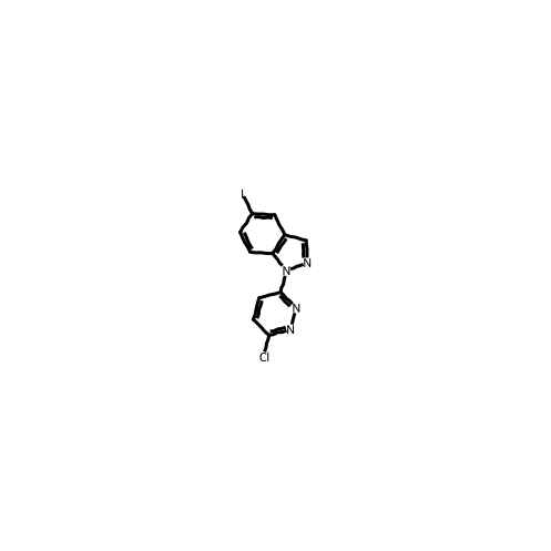 Clc1ccc(-n2ncc3cc(I)ccc32)nn1